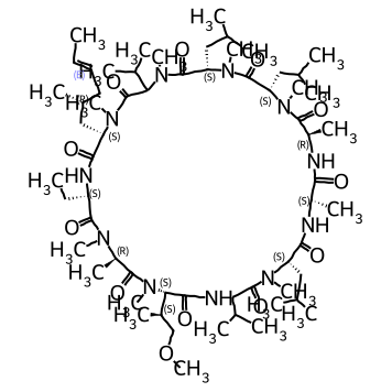 C/C=C/C[C@@H](C)C[C@H]1C(=O)N[C@@H](CC)C(=O)N(C)[C@H](C)C(=O)N(C)[C@@H]([C@H](C)COC)C(=O)NC(C(C)C)C(=O)N(C)[C@@H](CC(C)C)C(=O)N[C@@H](C)C(=O)N[C@H](C)C(=O)N(C)[C@@H](CC(C)C)C(=O)N(C)[C@@H](CC(C)C)C(=O)N(C)C(C(C)C)C(=O)N1C